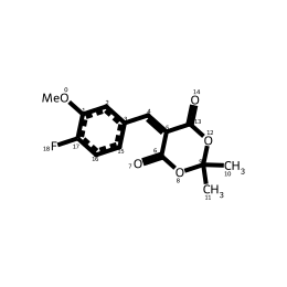 COc1cc(C=C2C(=O)OC(C)(C)OC2=O)ccc1F